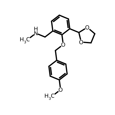 CNCc1cccc(C2OCCO2)c1OCc1ccc(OC)cc1